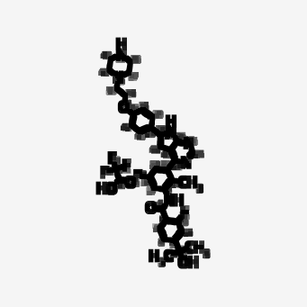 Cc1c(NC(=O)c2ccc(C(C)(C)O)cc2F)cc(F)cc1-c1ncnc2[nH]c(-c3ccc(OCCN4CCNCC4)cc3)cc12.O=C(O)C(F)(F)F